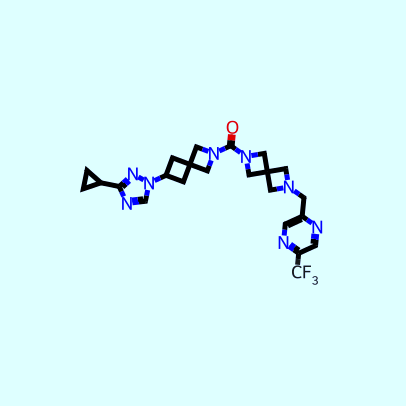 O=C(N1CC2(CC(n3cnc(C4CC4)n3)C2)C1)N1CC2(CN(Cc3cnc(C(F)(F)F)cn3)C2)C1